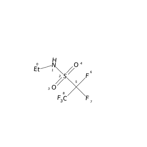 CCNS(=O)(=O)C(F)(F)C(F)(F)F